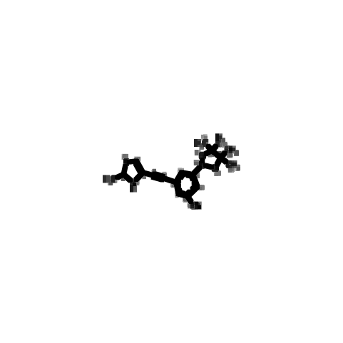 CC1NC(C#Cc2cc(C#N)cc(B3OC(C)(C)C(C)(C)O3)c2)=CS1